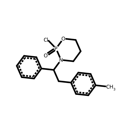 Cc1ccc(CC(c2ccccc2)N2CCCOP2(=O)Cl)cc1